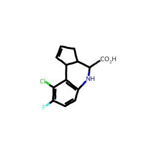 O=C(O)C1Nc2ccc(F)c(Cl)c2C2C=CCC12